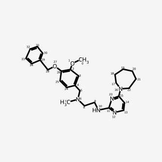 COc1cc(CN(C)CCNc2nccc(N3CCCCCC3)n2)ccc1OCc1ccccc1